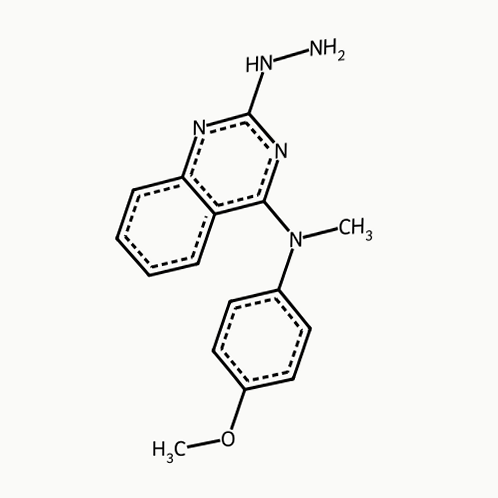 COc1ccc(N(C)c2nc(NN)nc3ccccc23)cc1